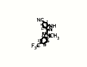 Cn1c(-c2n[nH]c3cc(C#N)ccc23)nc2cc(C(F)(F)F)ccc21